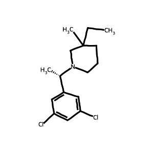 CCC1(C)CCCN([C@@H](C)c2cc(Cl)cc(Cl)c2)C1